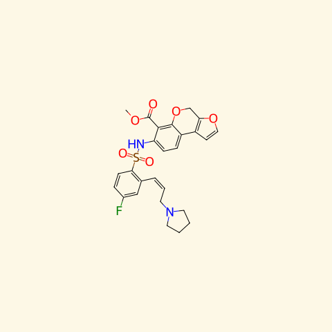 COC(=O)c1c(NS(=O)(=O)c2ccc(F)cc2/C=C\CN2CCCC2)ccc2c1OCc1occc1-2